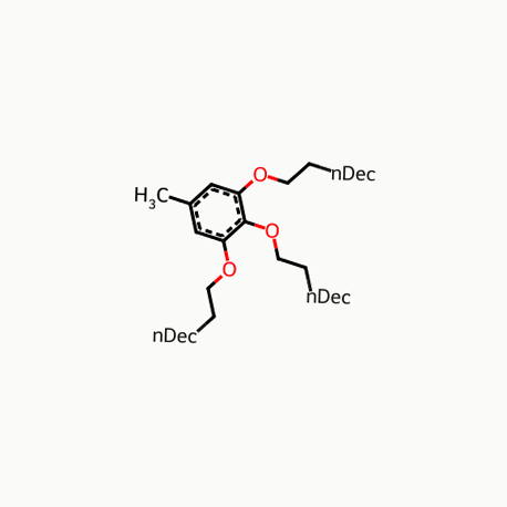 CCCCCCCCCCCCOc1cc(C)cc(OCCCCCCCCCCCC)c1OCCCCCCCCCCCC